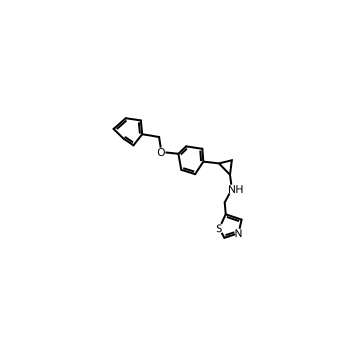 c1ccc(COc2ccc(C3CC3NCc3cncs3)cc2)cc1